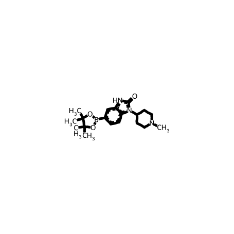 CN1CCC(n2c(=O)[nH]c3cc(B4OC(C)(C)C(C)(C)O4)ccc32)CC1